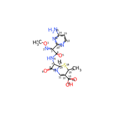 CON=C(C(=O)NC1C(=O)N2C=C(C(=O)O)C(C)S[C@H]12)c1nccc(N)n1